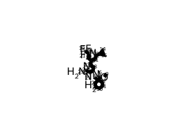 COCC1(CN(C)c2cc(-c3cc(C4CC4)nc(C(F)(F)F)c3)nc(N)c2N)CCCCC1